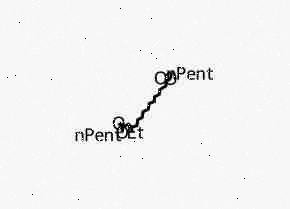 CCCCCOC(=O)CCCCCCCCCCCC(CC)CC(=O)OCCCCC